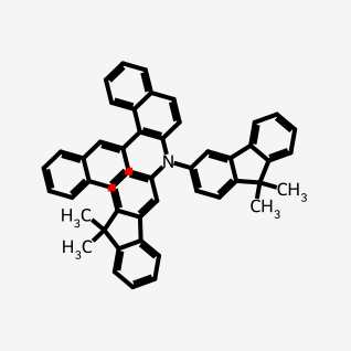 CC1(C)c2ccccc2-c2cc(N(c3ccc4c(c3)-c3ccccc3C4(C)C)c3ccc4ccccc4c3-c3ccc4ccccc4c3)ccc21